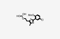 COc1ccc(Cl)cc1-c1nc(C)c(CCON(O)O)s1